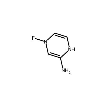 NC1=CN(F)C=CN1